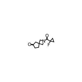 O=C1CCC2(C1)CN(C(=O)C1(F)CC1)C2